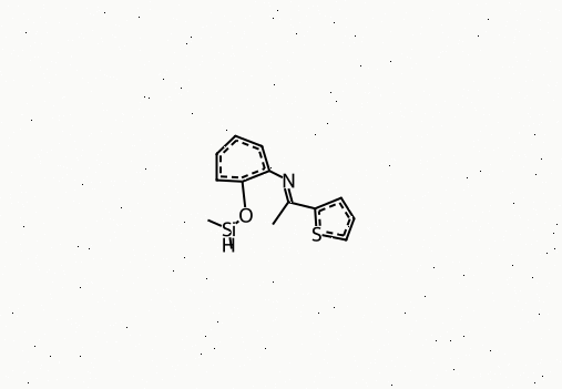 CC(=Nc1ccccc1O[SiH](C)C)c1cccs1